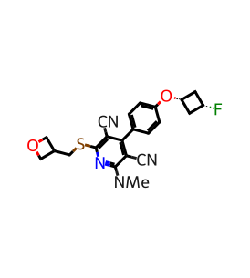 CNc1nc(SCC2COC2)c(C#N)c(-c2ccc(O[C@H]3C[C@@H](F)C3)cc2)c1C#N